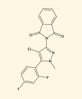 Cn1nc(N2C(=O)c3ccccc3C2=O)c(Cl)c1-c1ccc(F)cc1F